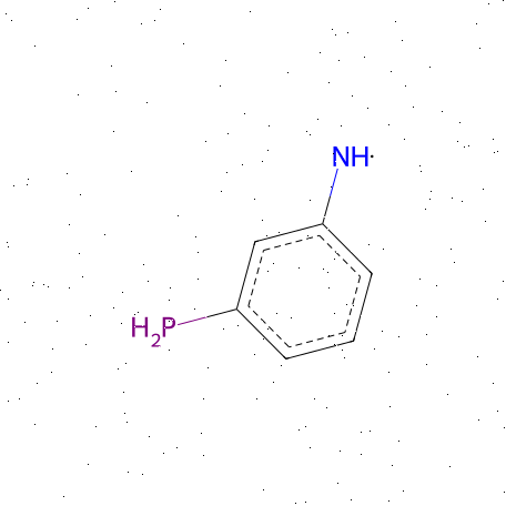 [NH]c1cccc(P)c1